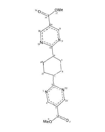 COC(=O)c1cnc(C2CCC(c3ncc(C(=O)OC)cn3)CC2)nc1